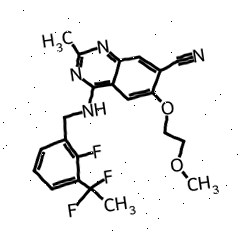 COCCOc1cc2c(NCc3cccc(C(C)(F)F)c3F)nc(C)nc2cc1C#N